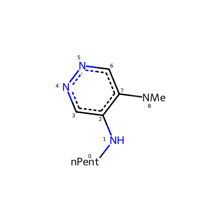 CCCCCNc1cnncc1NC